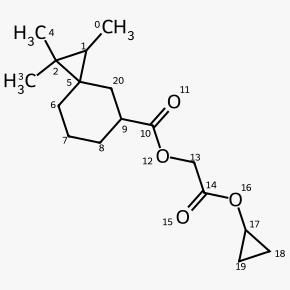 CC1C(C)(C)C12CCCC(C(=O)OCC(=O)OC1CC1)C2